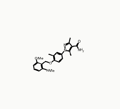 CNc1cccc(OC)c1COc1ccc(-n2nc(C)c(C(N)=O)c2C)cc1C